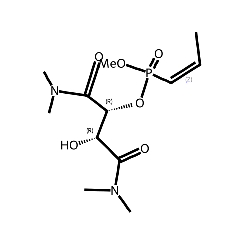 C/C=C\P(=O)(OC)O[C@@H](C(=O)N(C)C)[C@@H](O)C(=O)N(C)C